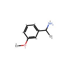 CCOc1cccc(C(N)CC)c1